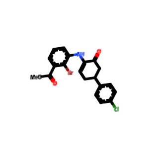 COC(=O)c1cccc(NC2=CCC(c3ccc(Cl)cc3)CC2=O)c1Br